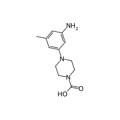 Cc1cc(N)cc(N2CCN(C(=O)O)CC2)c1